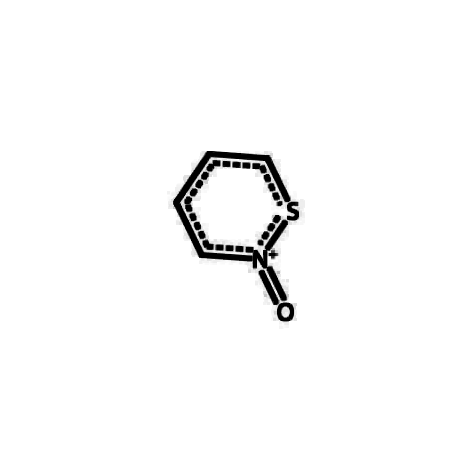 O=[n+]1ccccs1